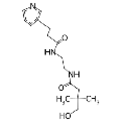 CC(C)(CO)CC(=O)NCCNC(=O)CCc1cccnc1